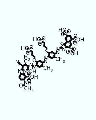 CC(=O)Nc1ccc2nc3c(C#N)c(C)c(N=Nc4cc(C)c(N=Nc5cc(C)c(N=Nc6nc7c(S(=O)(=O)O)cc8c(S(=O)(=O)O)cc(S(=O)(=O)O)cc8c7s6)cc5SCCCS(=O)(=O)O)cc4OCCCS(=O)(=O)O)c(O)n3c2c1S(=O)(=O)O